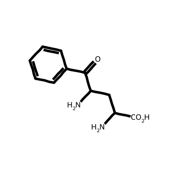 NC(CC(N)C(=O)c1ccccc1)C(=O)O